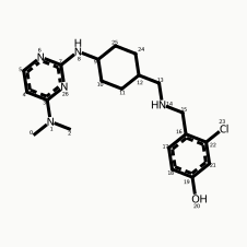 CN(C)c1ccnc(NC2CCC(CNCc3ccc(O)cc3Cl)CC2)n1